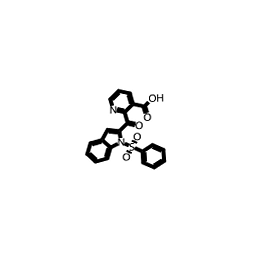 O=C(O)c1cccnc1C(=O)c1cc2ccccc2n1S(=O)(=O)c1ccccc1